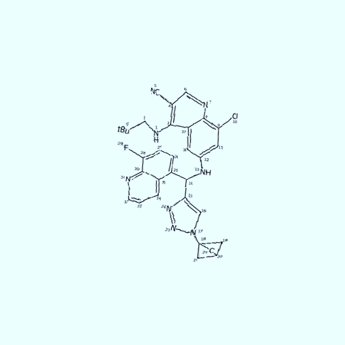 CC(C)(C)CNc1c(C#N)cnc2c(Cl)cc(NC(c3cn(C45CC(C4)C5)nn3)c3ccc(F)c4ncccc34)cc12